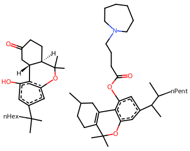 CCCCCC(C)C(C)c1cc(OC(=O)CCCN2CCCCCC2)c2c(c1)OC(C)(C)C1=C2CC(C)CC1.CCCCCCC(C)(C)c1cc(O)c2c(c1)OC(C)(C)[C@@H]1CCC(=O)C[C@@H]21